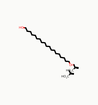 C=C(C)C(=O)O.C=C(C)C(=O)O.OCCCCCCCCCCCCCCCCCCCO